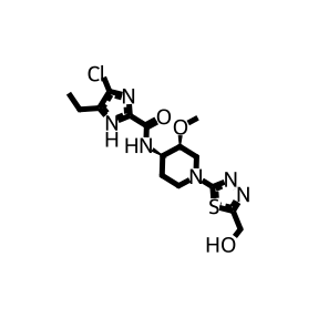 CCc1[nH]c(C(=O)N[C@@H]2CCN(c3nnc(CO)s3)C[C@@H]2OC)nc1Cl